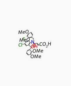 COc1ccc(CN(C(=O)C=CC(=O)O)c2cc(F)c(Cl)cc2C(O)c2cccc(OC)c2OC)c(OC)c1